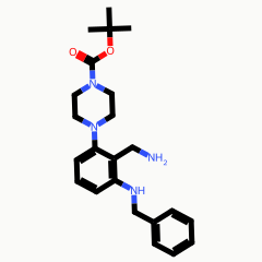 CC(C)(C)OC(=O)N1CCN(c2cccc(NCc3ccccc3)c2CN)CC1